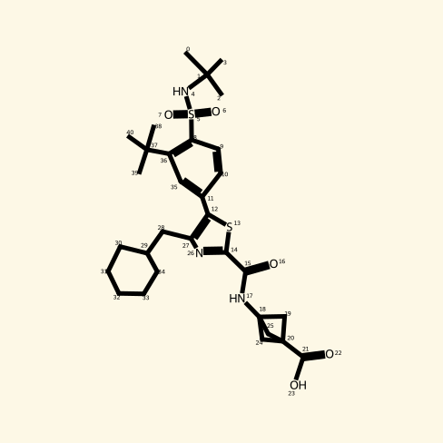 CC(C)(C)NS(=O)(=O)c1ccc(-c2sc(C(=O)NC34CC(C(=O)O)(C3)C4)nc2CC2CCCCC2)cc1C(C)(C)C